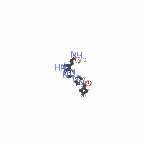 NC(=O)C=Cc1c[nH]c2ncc(N3CCN(C(=O)C4CCC4)CC3)nc12